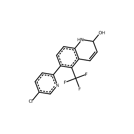 OC1C=Cc2c(ccc(-c3ccc(Cl)cn3)c2C(F)(F)F)N1